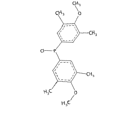 COc1c(C)cc(P(Cl)c2cc(C)c(OC)c(C)c2)cc1C